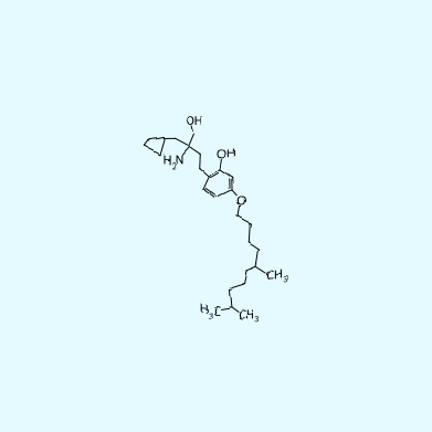 CC(C)CCCC(C)CCCCOc1ccc(CCC(N)(CO)CC2CCC2)c(O)c1